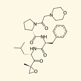 CC(C)C[C@H](NC(=O)[C@H](Cc1ccccc1)NC(=O)[C@@H]1CCCN1C(=O)CN1CCOCC1)C(=O)[C@@]1(C)CO1